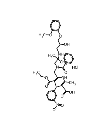 CCOC(=O)C1=C(CN(CC(C)(C)NCC(O)COc2ccccc2OC)C(=O)c2ccccc2)NC(C)=C(C(=O)O)C1c1cccc([N+](=O)[O-])c1.Cl